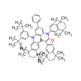 CC(C)(C)c1cc(N2c3cc4c(cc3B3c5c2cc(-c2ccccc2)cc5N(c2ccc5c(c2)C(C)(C)CCC5(C)C)c2oc5cc6c(cc5c23)C(C)(C)CCC6(C)C)C(C)(C)CCC4(C)C)cc(C(C)(C)C)c1